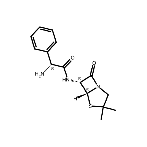 CC1(C)CN2C(=O)[C@@H](NC(=O)[C@H](N)c3ccccc3)[C@H]2S1